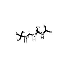 CC(C)NC(=S)NCNC(C)(C)C